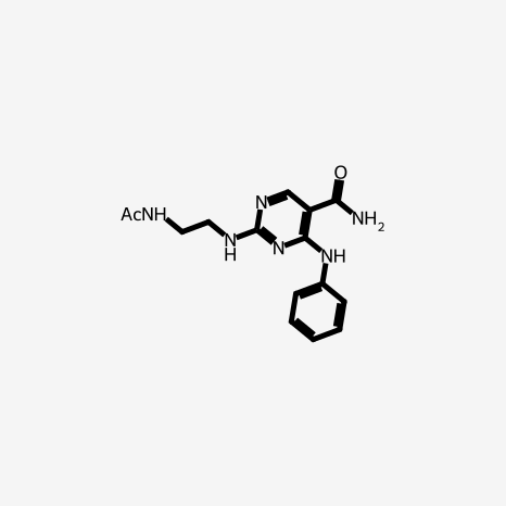 CC(=O)NCCNc1ncc(C(N)=O)c(Nc2ccccc2)n1